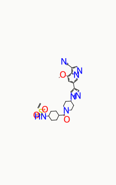 C=CS(=O)(=O)NC1CCC(C(=O)N2CCC(n3cc(-c4cc(OC)c5c(C#N)cnn5c4)cn3)CC2)CC1